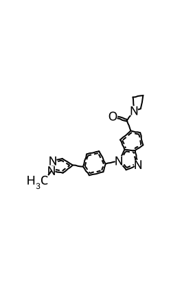 Cn1cc(-c2ccc(-n3cnc4ccc(C(=O)N5CCC5)cc43)cc2)cn1